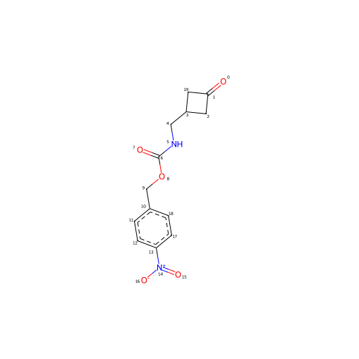 O=C1CC(CNC(=O)OCc2ccc([N+](=O)[O-])cc2)C1